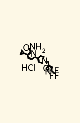 Cl.NC(=O)c1nc(C2=CCN(Cc3cc(C(F)(F)F)no3)CC2)ccc1C1CC1